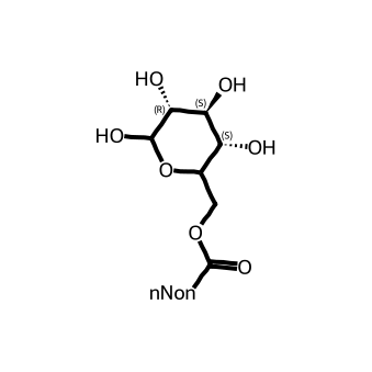 CCCCCCCCCC(=O)OCC1OC(O)[C@H](O)[C@@H](O)[C@@H]1O